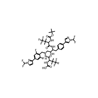 CC(C)(C)OC(=O)NC(C(=O)NC(Cc1ccc(-c2cnn(C(F)F)c2)cc1)C(O)CN(Cc1c(F)cc(-c2ccn(C(F)F)n2)cc1F)NC(=O)C(NC(=O)O)C(C)(C)C(F)(F)F)C(C)(C)C(F)(F)F